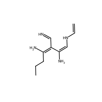 C=CN/C=C(N)\C(C=N)=C(\N)CCC